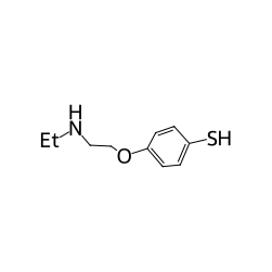 CCNCCOc1ccc(S)cc1